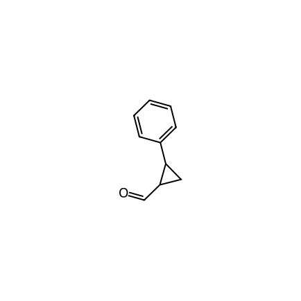 O=CC1CC1c1ccccc1